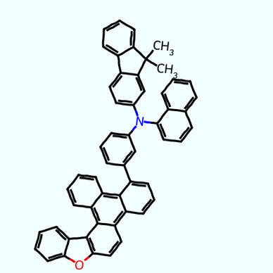 CC1(C)c2ccccc2-c2ccc(N(c3cccc(-c4cccc5c6ccc7oc8ccccc8c7c6c6ccccc6c45)c3)c3cccc4ccccc34)cc21